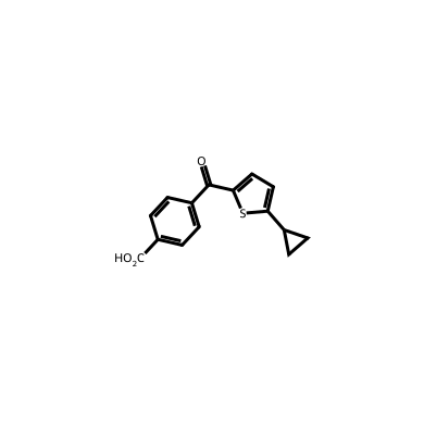 O=C(O)c1ccc(C(=O)c2ccc(C3CC3)s2)cc1